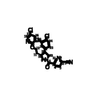 N#Cc1ccc(C(=O)N2C[C@@H](CCOc3ccc(Cl)cn3)[C@@H](c3ccc(Cl)c(Cl)c3)C2)cn1